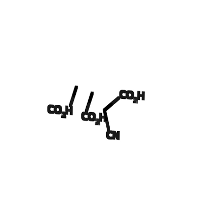 CC(=O)O.CC(=O)O.N#CCC(=O)O